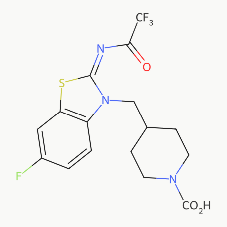 O=C(O)N1CCC(Cn2c(=NC(=O)C(F)(F)F)sc3cc(F)ccc32)CC1